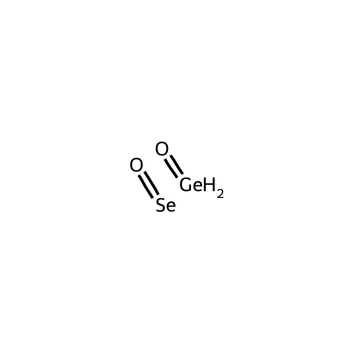 O=[Se].[O]=[GeH2]